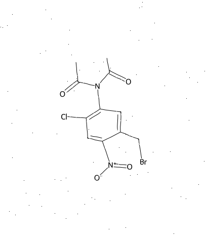 CC(=O)N(C(C)=O)c1cc(CBr)c([N+](=O)[O-])cc1Cl